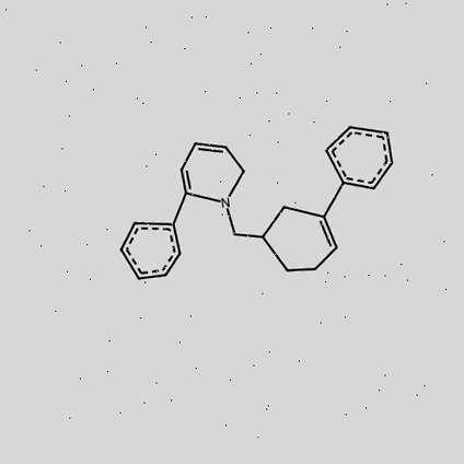 C1=CCN(CC2CCC=C(c3ccccc3)C2)C(c2ccccc2)=C1